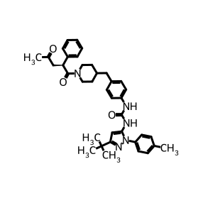 CC(=O)C[C@H](C(=O)N1CCC(Cc2ccc(NC(=O)Nc3cc(C(C)(C)C)nn3-c3ccc(C)cc3)cc2)CC1)c1ccccc1